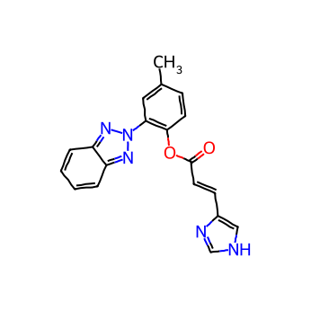 Cc1ccc(OC(=O)C=Cc2c[nH]cn2)c(-n2nc3ccccc3n2)c1